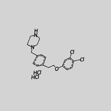 Cl.Cl.Clc1ccc(OCCc2ccc(CN3CCNCC3)cc2)cc1Cl